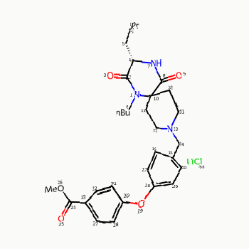 CCCCN1C(=O)[C@H](CC(C)C)NC(=O)C12CCN(Cc1ccc(Oc3ccc(C(=O)OC)cc3)cc1)CC2.Cl